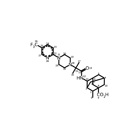 CC1C2CC3CC(CC1(C(=O)O)C3)C2NC(=O)C(C)(C)N1CCN(c2ccc(C(F)(F)F)cn2)CC1